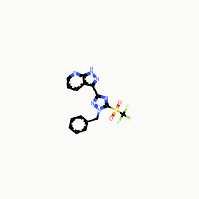 O=S(=O)(c1nc(-c2n[nH]c3ncccc23)nn1Cc1ccccc1)C(F)(F)F